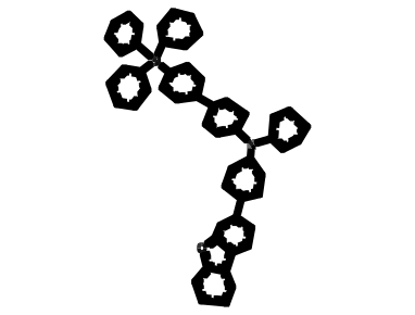 c1ccc(N(c2ccc(-c3ccc([Si](c4ccccc4)(c4ccccc4)c4ccccc4)cc3)cc2)c2ccc(-c3ccc4c(c3)oc3ccccc34)cc2)cc1